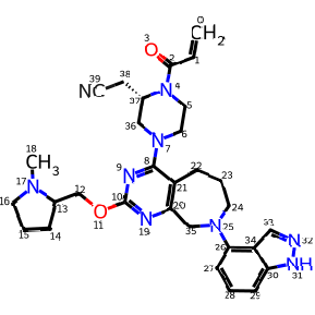 C=CC(=O)N1CCN(c2nc(OCC3CCCN3C)nc3c2CCCN(c2cccc4[nH]ncc24)C3)C[C@@H]1CC#N